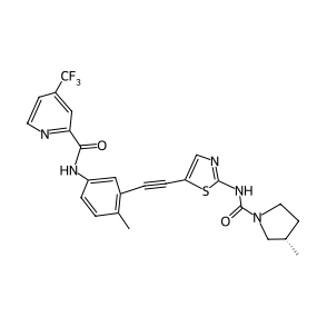 Cc1ccc(NC(=O)c2cc(C(F)(F)F)ccn2)cc1C#Cc1cnc(NC(=O)N2CC[C@H](C)C2)s1